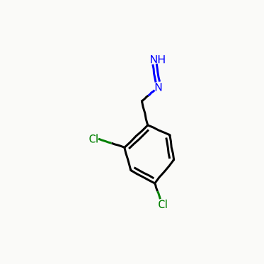 N=NCc1ccc(Cl)cc1Cl